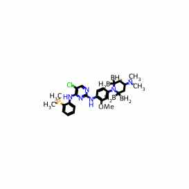 BC1(B)CC(N(C)C)CC(B)(B)N1c1ccc(Nc2ncc(Cl)c(Nc3ccccc3P(C)C)n2)c(OC)c1